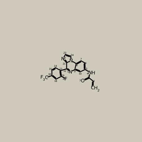 C=CC(=O)Nc1ccc2c(c1)nc(-c1ccc(C(F)(F)F)cc1F)c1nccn12